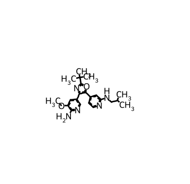 COc1cc(-c2nc(C(C)(C)C)oc2-c2ccnc(NCC(C)C)c2)cnc1N